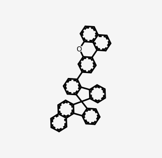 c1ccc2c(c1)-c1c(-c3ccc4c(c3)Oc3cccc5cccc-4c35)cccc1C21c2ccccc2-c2c1ccc1ccccc21